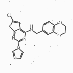 Clc1cc2c(NCc3ccc4c(c3)OCCO4)nc(-n3ccnc3)nc2s1